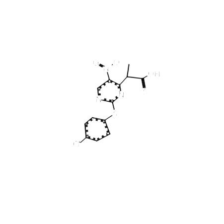 CC(C(O)=S)c1nc(Sc2ccc(Cl)cc2)ncc1[N+](=O)[O-]